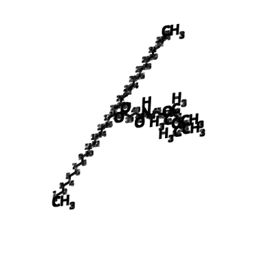 CCCCCCCCCCCCCCCCCCC(CCCCCCCCCCCCCCCCC)OC(=O)CCC(=O)NCCCOC(C)(C)COC(C)(C)C